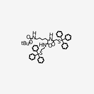 CC(C)(C)OC(=O)NCCCCC(NC(=O)CSC(c1ccccc1)(c1ccccc1)c1ccccc1)C(=O)NCCSC(c1ccccc1)(c1ccccc1)c1ccccc1